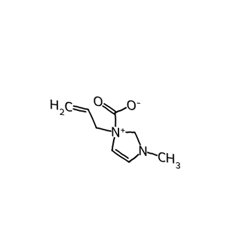 C=CC[N+]1(C(=O)[O-])C=CN(C)C1